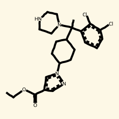 CCOC(=O)c1cnn(C2CCC(C(C)(c3cccc(Cl)c3Cl)N3CCNCC3)CC2)c1